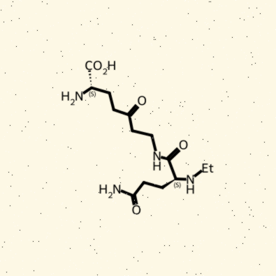 CCN[C@@H](CCC(N)=O)C(=O)NCCC(=O)CC[C@H](N)C(=O)O